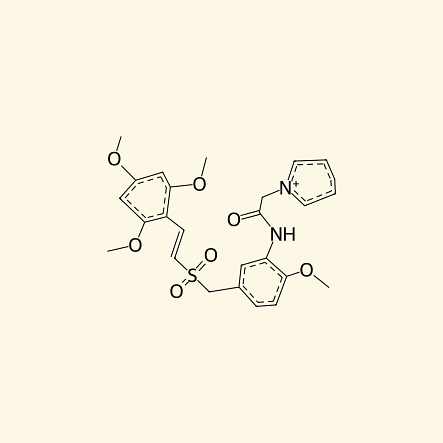 COc1cc(OC)c(/C=C/S(=O)(=O)Cc2ccc(OC)c(NC(=O)C[n+]3ccccc3)c2)c(OC)c1